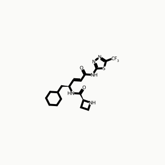 O=C(/C=C/[C@H](CC1CCCCC1)NC(=O)[C@@H]1CCN1)Nc1nnc(C(F)(F)F)s1